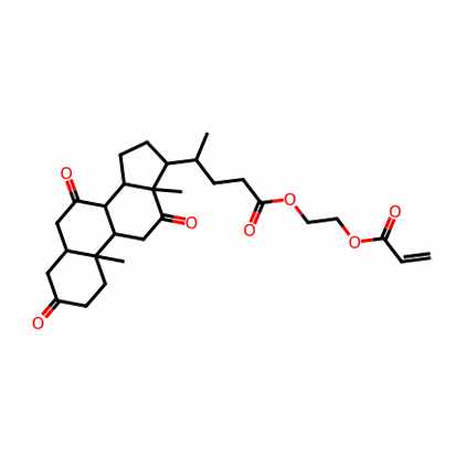 C=CC(=O)OCCOC(=O)CCC(C)C1CCC2C3C(=O)CC4CC(=O)CCC4(C)C3CC(=O)C12C